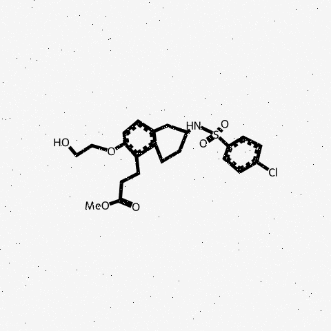 COC(=O)CCc1c(OCCO)ccc2c1CCC(NS(=O)(=O)c1ccc(Cl)cc1)C2